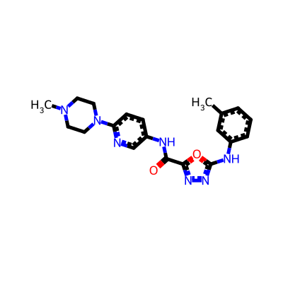 Cc1cccc(Nc2nnc(C(=O)Nc3ccc(N4CCN(C)CC4)nc3)o2)c1